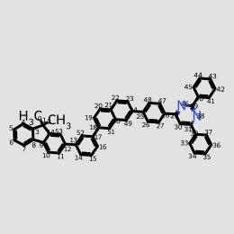 CC1(C)c2ccccc2-c2ccc(-c3cccc(-c4ccc5ccc(-c6ccc(-c7cc(-c8ccccc8)nc(-c8ccccc8)n7)cc6)cc5c4)c3)cc21